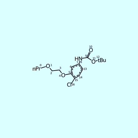 CCCOCCOc1cc(NC(=O)OC(C)(C)C)ccc1Cl